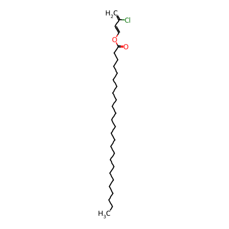 C=C(Cl)C=COC(=O)CCCCCCCCCCCCCCCCCCCCCCCCC